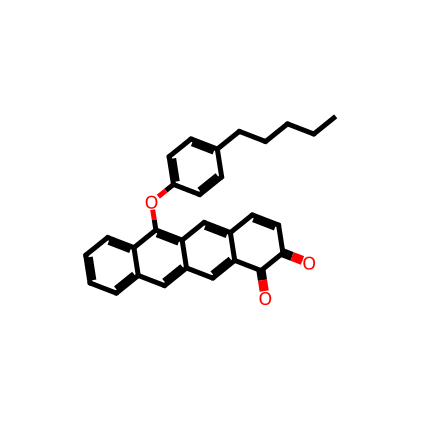 CCCCCc1ccc(Oc2c3ccccc3cc3cc4c(cc23)C=CC(=O)C4=O)cc1